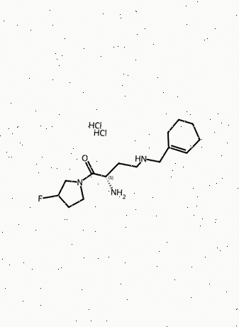 Cl.Cl.N[C@@H](CCNCC1=CCCCC1)C(=O)N1CCC(F)C1